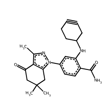 Cc1nn(-c2ccc(C(N)=O)c(NC3CC#CCC3)c2)c2c1C(=O)CC(C)(C)C2